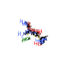 CC1=NC2=CN(CO)NN2C(SCC2=C(C(=O)O)N3C(=O)C(NC(=O)/C(=N\OC(C)(C)C(=O)NN)c4csc(N)n4)[C@H]3SC2)=C1.Cl.Cl